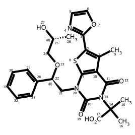 Cc1c(-c2ncco2)sc2c1c(=O)n(C(C)(C)C(=O)O)c(=O)n2C[C@H](OC[C@@H](C)O)c1ccccc1